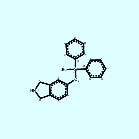 CC(C)(C)[Si](Oc1ccc2c(c1)CNC2)(c1ccccc1)c1ccccc1